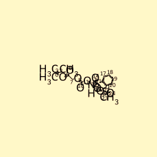 CC(C)(C)OC(=O)COC(=O)ONS(=O)(=O)c1ccccc1S(C)(=O)=O